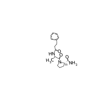 CC(NC(=O)CCc1ccccc1)C(=O)N1CCC[C@H]1C(N)=O